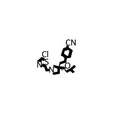 CC1(C)C[C@H]([C@]2(CCc3ccc(C#N)cc3)CCN(Cc3ncc(Cl)s3)C2)O1